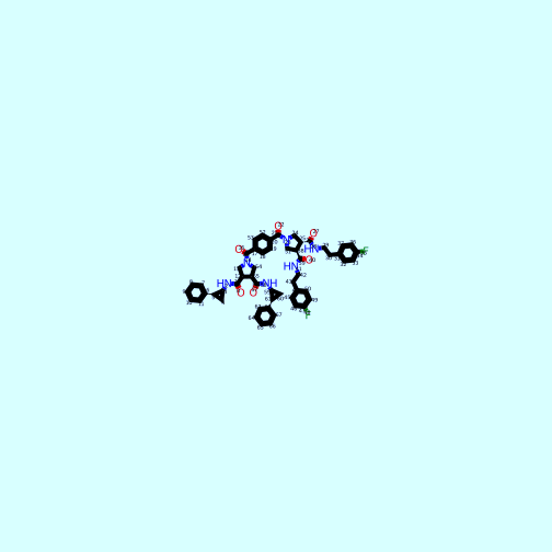 O=C(NC1C[C@@H]1c1ccccc1)C1CN(C(=O)c2ccc(C(=O)N3C[C@H](C(=O)NCCc4ccc(F)cc4)[C@@H](C(=O)NCCc4ccc(F)cc4)C3)cc2)CC1C(=O)NC1C[C@@H]1c1ccccc1